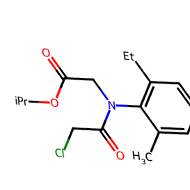 CCc1cccc(C)c1N(CC(=O)OC(C)C)C(=O)CCl